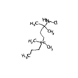 CCC[N+](C)(C)CCC(C)(C)NCl